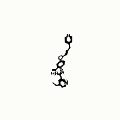 C=C1NC(c2cc(CC)ccn2)=Nc2ccc(OCCCc3ccncc3)cc21